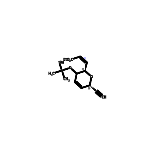 C#C[C@@H]1C=CC(O[Si](C)(C)C(C)(C)C)[C@@H](/C=C\C(=O)OCC)O1